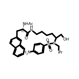 CC(=O)N[C@@H](Cc1ccc2ccccc2c1)C(=O)NCCCCC(CO)N(CC(C)C)S(=O)(=O)c1ccc(N)cc1